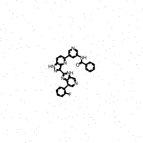 O=C(Nc1cncc(-c2ccc3[nH]nc(-c4nc5c(-c6ccccc6F)cncc5[nH]4)c3n2)c1)c1ccccc1